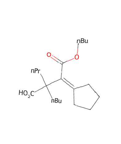 CCCCOC(=O)C(=C1CCCC1)C(CCC)(CCCC)C(=O)O